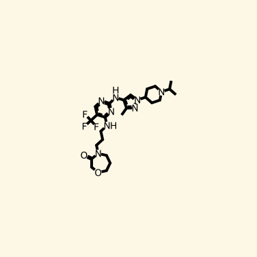 Cc1nn(C2CCN(C(C)C)CC2)cc1Nc1ncc(C(F)(F)F)c(NCCCN2CCCOCC2=O)n1